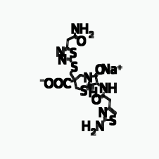 NC(=O)Cc1nnc(SCC2(C(=O)[O-])CS[C@@H]3C(NC(=O)Cc4csc(N)n4)C(=O)N3C2)s1.[Na+]